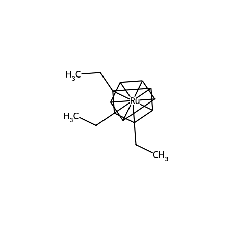 CC[C]12[CH]3[CH]4[C]5(CC)[C]1(CC)[Ru]34251678[CH]2[CH]1[CH]6[CH]7[CH]28